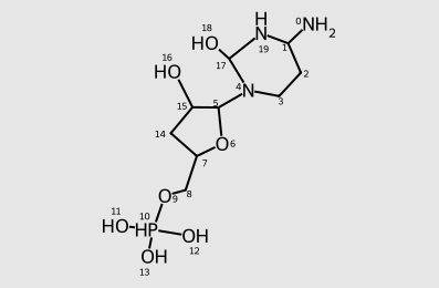 NC1CCN(C2OC(CO[PH](O)(O)O)CC2O)C(O)N1